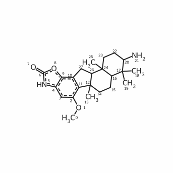 COc1cc2[nH]c(=O)oc2c2c1C1(C)CCC3C(C)(C)C(N)CCC3(C)C1C2